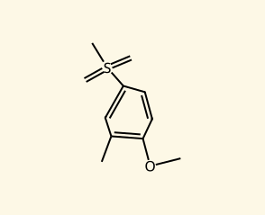 C=S(=C)(C)c1ccc(OC)c(C)c1